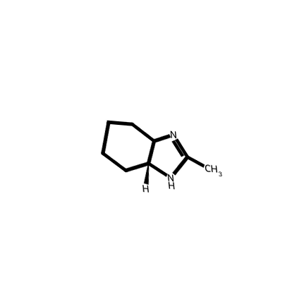 CC1=NC2CCCC[C@H]2N1